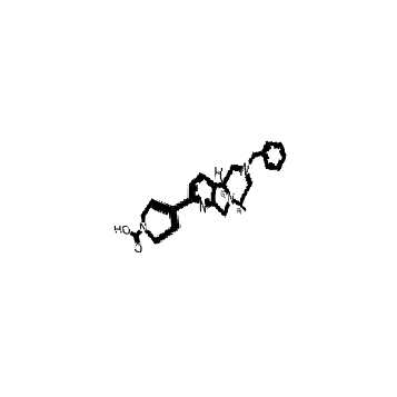 C[C@@H]1CN(Cc2ccccc2)C[C@@H]2c3ccc(C4=CCN(C(=O)O)CC4)nc3CN12